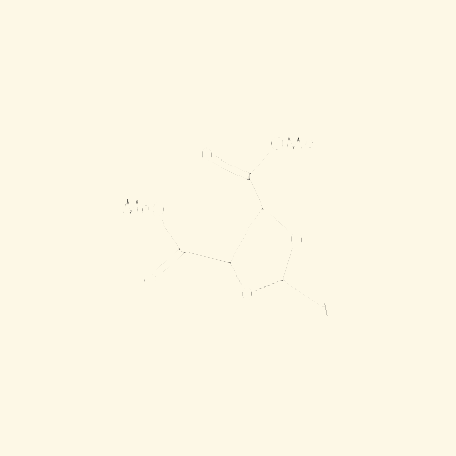 COC(=O)C1OC(I)OC1C(=O)OC